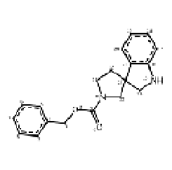 O=C(OCc1ccccc1)N1CCC2(CNc3ccccc32)C1